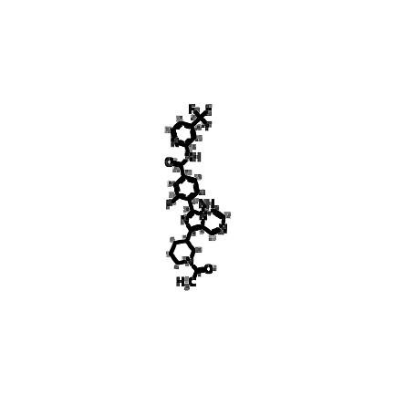 CC(=O)N1CCCC(C2=C3C=NC=C[N+]3(N)C(c3ccc(C(=O)Nc4cc(C(F)(F)F)ccn4)cc3F)=N2)C1